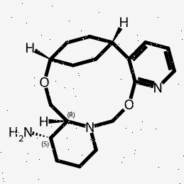 N[C@H]1CCCN2COc3ncccc3[C@H]3CC[C@H](CC3)OC[C@@H]12